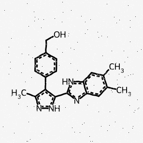 Cc1cc2nc(-c3[nH]nc(C)c3-c3ccc(CO)cc3)[nH]c2cc1C